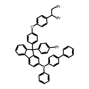 CC(C)CC(c1ccc(Oc2ccc(C3(c4ccc(C(C)C)cc4)c4ccccc4-c4ccc(N(c5ccccc5)c5ccc(-c6ccccc6)cc5)cc43)cc2)cc1)C(C)C